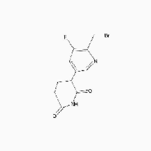 O=C1CCC(c2cnc(CBr)c(F)c2)C(=O)N1